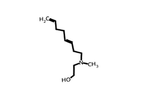 C=CCCC=CCCN(C)CCO